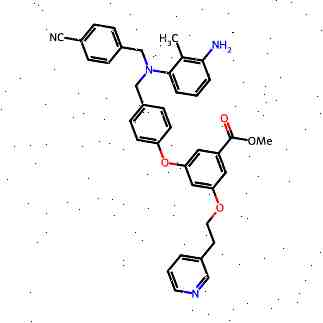 COC(=O)c1cc(OCCc2cccnc2)cc(Oc2ccc(CN(Cc3ccc(C#N)cc3)c3cccc(N)c3C)cc2)c1